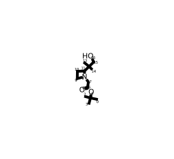 CC(C)(C)OC(=O)CN1CCC1C(C)(C)CO